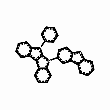 c1ccc(-n2c3ccccc3c3c4ccccc4n(-c4ccc5sc6ccccc6c5c4)c32)cc1